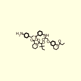 CCC(=O)N1CCCc2cc(OCC(=O)Nc3cccc([C@@H](CCc4ccc(N)cc4)OC(=O)C4CCCCN4C(=O)C(=O)C(C)(C)CC)c3)ccc21